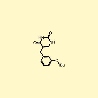 CCC(C)Oc1cccc(Cc2c[nH]c(=O)[nH]c2=O)c1